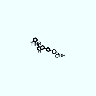 CCc1ccccc1NC(=O)c1ccnc2cc(-c3ccc([C@H]4CC[C@H](CC(=O)O)CC4)cc3)ccc12